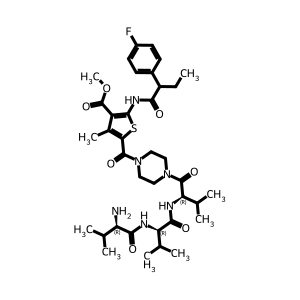 CCC(C(=O)Nc1sc(C(=O)N2CCN(C(=O)[C@H](NC(=O)[C@H](NC(=O)[C@H](N)C(C)C)C(C)C)C(C)C)CC2)c(C)c1C(=O)OC)c1ccc(F)cc1